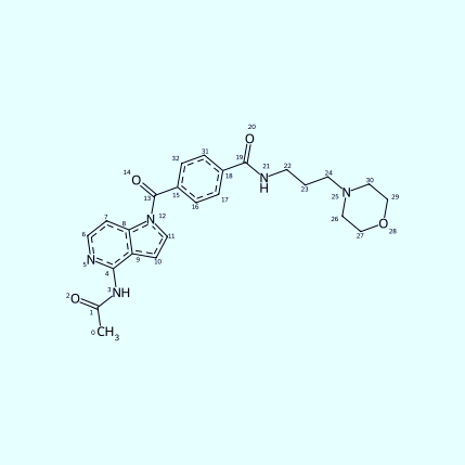 CC(=O)Nc1nccc2c1ccn2C(=O)c1ccc(C(=O)NCCCN2CCOCC2)cc1